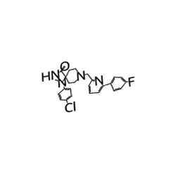 O=C1NCN(c2ccc(Cl)cc2)C12CCN(Cc1cccc(-c3ccc(F)cc3)n1)CC2